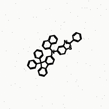 C1=C2N=C(c3ccccc3)SC2CC=C1N(c1ccc2c(c1)C(c1ccccc1)(c1ccccc1)c1ccccc1-2)c1cccc2ccccc12